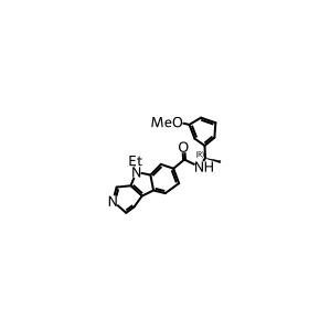 CCn1c2cnccc2c2ccc(C(=O)N[C@H](C)c3cccc(OC)c3)cc21